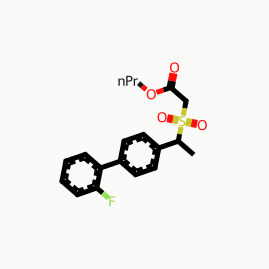 CCCOC(=O)CS(=O)(=O)C(C)c1ccc(-c2ccccc2F)cc1